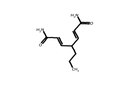 CCCC(C=CC(N)=O)C=CC(N)=O